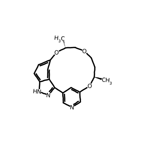 C[C@@H]1CCOC[C@@H](C)Oc2ccc3[nH]nc(c3c2)-c2cncc(c2)O1